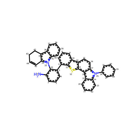 Nc1cccc(-c2cccc3c2sc2c3ccc3c2c2ccccc2n3-c2ccccc2)c1-n1c2c(c3ccccc31)CCC=C2